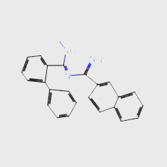 CN/C(=N\C(=N)c1ccc2ccccc2c1)c1ccccc1-c1ccccc1